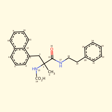 CC(Cc1cccc2ccccc12)(NC(=O)O)C(=O)NCCc1ccccc1